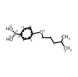 CC(C)CCCOc1ccc(B(O)O)cc1